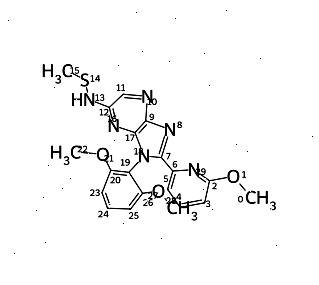 COc1cccc(-c2nc3ncc(NSC)nc3n2-c2c(OC)cccc2OC)n1